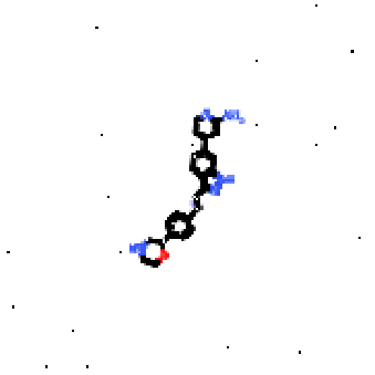 Nc1cc(-c2ccc3c(/C=C/c4ccc(C5CNCCO5)cc4)n[nH]c3c2)ccn1